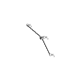 CCCCCCCCCCCCCCCCCn1cc[n+](CCCCCCCCCCCCCCCCC)c1CC